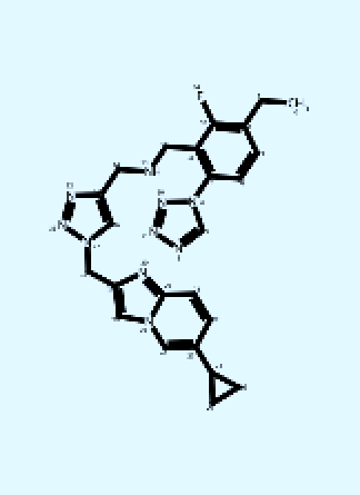 CCc1ccc(-n2cnnn2)c(CNCc2cn(Cc3cn4cc(C5CC5)ccc4n3)nn2)c1F